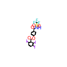 O=C(NS(=O)(=O)C(F)(F)F)c1ccc(OC(=O)c2c(I)ccc(I)c2I)cc1